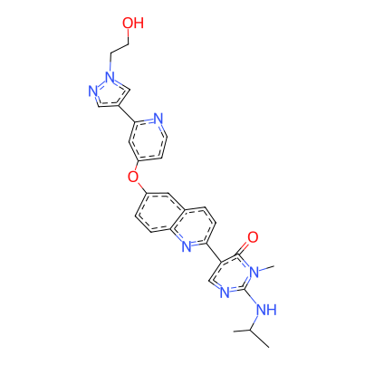 CC(C)Nc1ncc(-c2ccc3cc(Oc4ccnc(-c5cnn(CCO)c5)c4)ccc3n2)c(=O)n1C